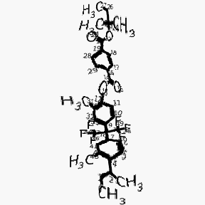 CCC(C)c1ccc(C(c2ccc(OC(=O)c3ccc(C(=O)OC(C)(C)CC)cc3)c(C)c2)(C(F)(F)F)C(F)(F)F)cc1C